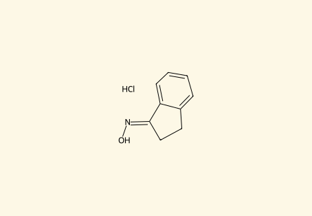 Cl.ON=C1CCc2ccccc21